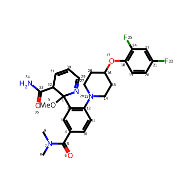 COC1(c2cc(C(=O)N(C)C)ccc2N2CCC(Oc3ccc(F)cc3F)CC2)N=CC=CC1C(N)=O